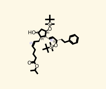 CC(C)OC(=O)CCC/C=C\C[C@@H]1[C@@H](/C=C/[C@H](CCc2ccccc2)O[Si](C)(C)C(C)(C)C)[C@H](O[Si](C)(C)C(C)(C)C)C[C@@H]1O